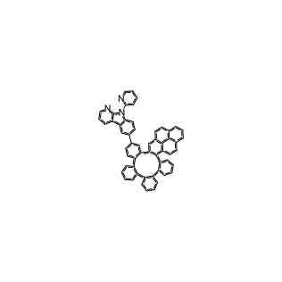 c1ccc(-n2c3ccc(-c4ccc5c6ccccc6c6ccccc6c6ccccc6c6c(cc7ccc8cccc9ccc6c7c89)c5c4)cc3c3cccnc32)nc1